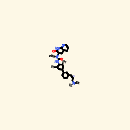 CCCCN(C(=O)Nc1c(C(C)C)cc(-c2cccc(/C=C\CN(CC)CC)c2)cc1C(C)C)c1cc2cccnc2[nH]c1=O